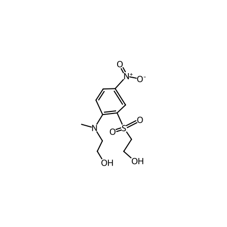 CN(CCO)c1ccc([N+](=O)[O-])cc1S(=O)(=O)CCO